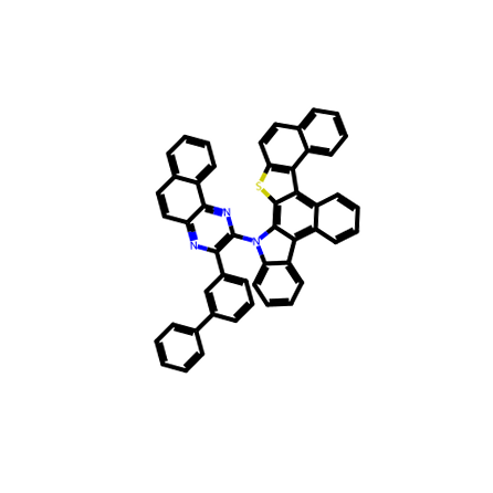 c1ccc(-c2cccc(-c3nc4ccc5ccccc5c4nc3-n3c4ccccc4c4c5ccccc5c5c(sc6ccc7ccccc7c65)c43)c2)cc1